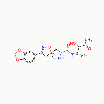 CCC[C@H](NC(=O)C1C[C@@]2(CN1)CC(c1ccc3c(c1)OCO3)=NO2)C(O)C(N)=O